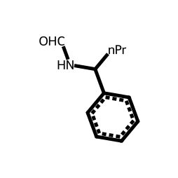 CCCC(NC=O)c1ccccc1